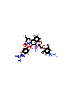 CNc1nc2ccc(S(=O)(=O)N(CC(C)C)C(Cc3ccccc3)C(O)CNC(=O)COc3c(C)cc(N)cc3C)cc2s1